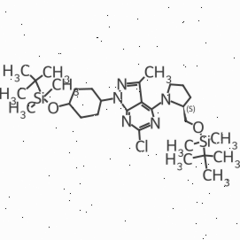 Cc1nn(C2CCC(O[Si](C)(C)C(C)(C)C)CC2)c2nc(Cl)nc(N3CCC[C@H]3CO[Si](C)(C)C(C)(C)C)c12